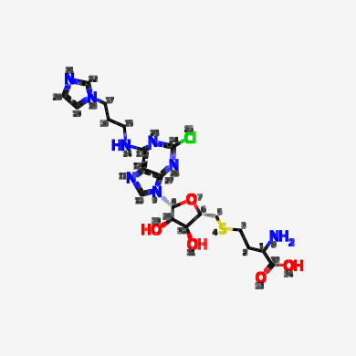 NC(CCSC[C@H]1O[C@@H](n2cnc3c(NCCCn4ccnc4)nc(Cl)nc32)[C@H](O)[C@@H]1O)C(=O)O